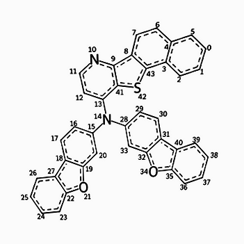 c1ccc2c(c1)ccc1c3nccc(N(c4ccc5c(c4)oc4ccccc45)c4ccc5c(c4)oc4ccccc45)c3sc21